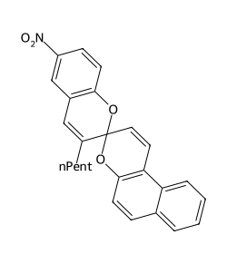 CCCCCC1=Cc2cc([N+](=O)[O-])ccc2OC12C=Cc1c(ccc3ccccc13)O2